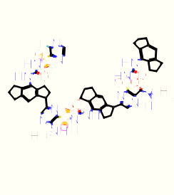 CNC(=O)c1ncc(C2CCc3c2cc2c(c3NC(=O)NS(=O)(=O)c3nc(C4CCc5c4cc4c(c5NC(=O)NS(=O)(=O)c5nccnc5F)CCC4)cnc3NC)CCC2)nc1S(=O)(=O)NC(=O)Nc1c2c(cc3c1CCC3)CCC2